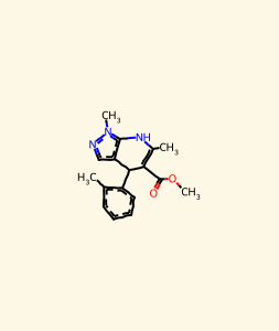 COC(=O)C1=C(C)Nc2c(cnn2C)C1c1ccccc1C